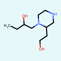 CCC(O)CN1CCNCC1CCO